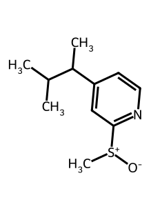 CC(C)C(C)c1ccnc([S+](C)[O-])c1